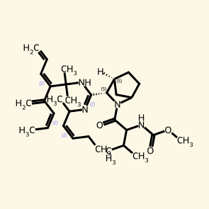 C=C/C=C(/C(=C)/C=C\C)C(C)(C)N/C(=N\C(C)/C=C\CC)[C@@H]1[C@H]2CCC(C2)N1C(=O)C(NC(=O)OC)C(C)C